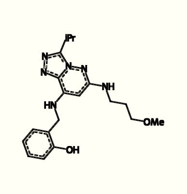 COCCCNc1cc(NCc2ccccc2O)c2nnc(C(C)C)n2n1